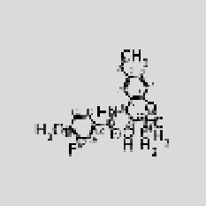 CCc1ccc2c(c1)[C@H](NC(=O)c1ccc(C)c(F)c1)[C@@H](O)C(C)(C)O2